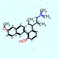 CCC(c1cccc(O)c1-c1ccc2cc(OC)ccc2c1)C(C)CN(C)C